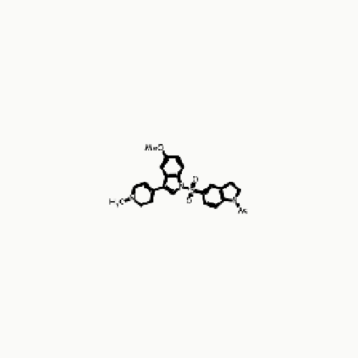 COc1ccc2c(c1)c(C1=CCN(C)CC1)cn2S(=O)(=O)c1ccc2c(c1)CCN2C(C)=O